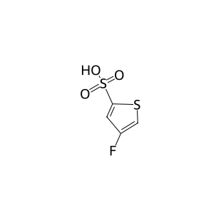 O=S(=O)(O)c1cc(F)cs1